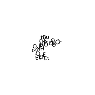 CCc1cc(C2(C(=O)Nc3ccc4c(c3)cc(C(C)(C)C)n4C[C@@H](O)COS(=O)(=O)c3ccc(C)cc3)CC2)ccc1OC(F)CC